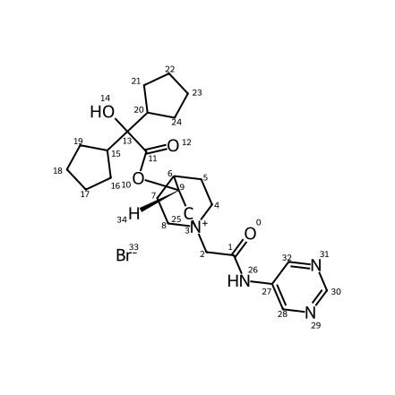 O=C(C[N+]12CCC(CC1)[C@@H](OC(=O)C(O)(C1CCCC1)C1CCCC1)C2)Nc1cncnc1.[Br-]